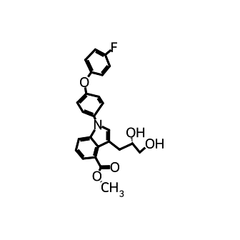 COC(=O)c1cccc2c1c(C[C@H](O)CO)cn2-c1ccc(Oc2ccc(F)cc2)cc1